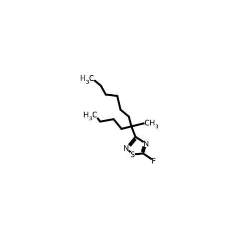 CCCCCCC(C)(CCCC)c1nsc(F)n1